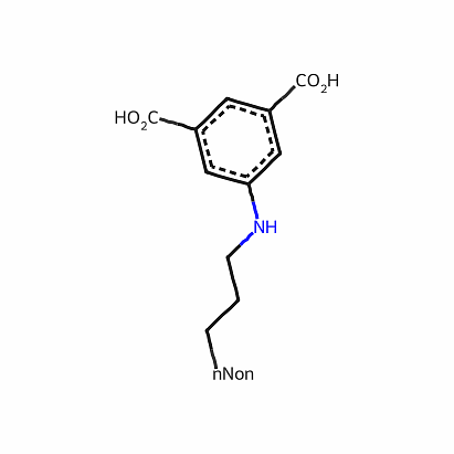 CCCCCCCCCCCCNc1cc(C(=O)O)cc(C(=O)O)c1